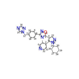 c1cc(-c2c(-c3nc(-c4ccc(Cn5cncn5)cc4)no3)cnn2C2CCCCC2)ccn1